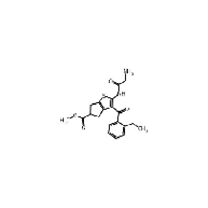 CCc1ccccc1C(=O)c1c(NC(=O)CN)sc2c1CC(C(=O)OC)C2